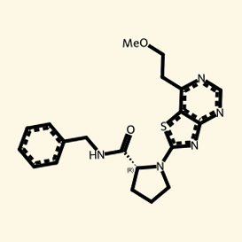 COCCc1ncnc2nc(N3CCC[C@@H]3C(=O)NCc3ccccc3)sc12